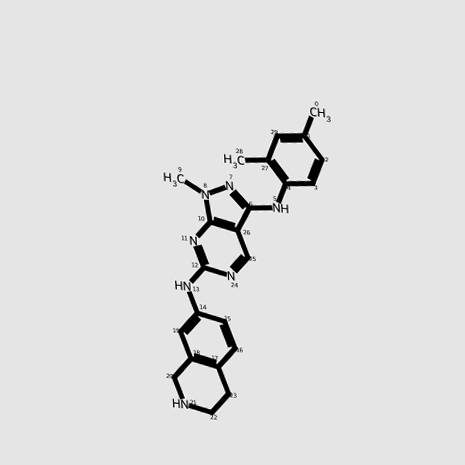 Cc1ccc(Nc2nn(C)c3nc(Nc4ccc5c(c4)CNCC5)ncc23)c(C)c1